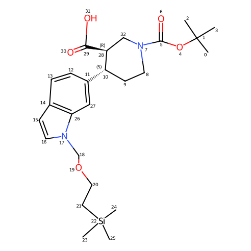 CC(C)(C)OC(=O)N1CC[C@H](c2ccc3ccn(COCC[Si](C)(C)C)c3c2)[C@@H](C(=O)O)C1